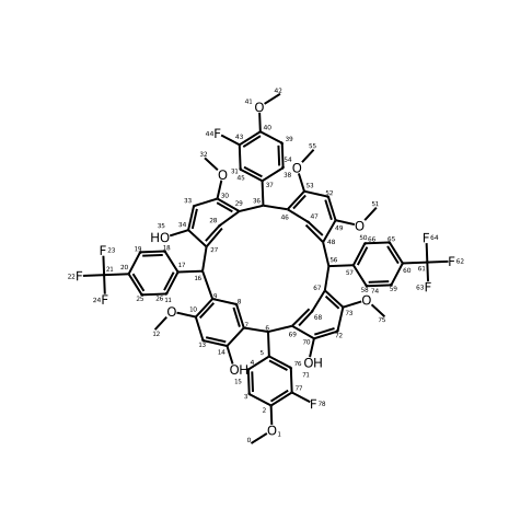 COc1ccc(C2c3cc(c(OC)cc3O)C(c3ccc(C(F)(F)F)cc3)c3cc(c(OC)cc3O)C(c3ccc(OC)c(F)c3)c3cc(c(OC)cc3OC)C(c3ccc(C(F)(F)F)cc3)c3cc2c(O)cc3OC)cc1F